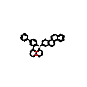 c1ccc(-c2ccc(N(c3ccccc3)c3ccc4c(ccc5c6ccccc6ccc45)c3)c(-c3ccccc3)c2)cc1